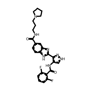 O=C(NCCCN1CCCC1)c1ccc2[nH]c(-c3n[nH]cc3NC(=O)c3c(F)cccc3F)nc2c1